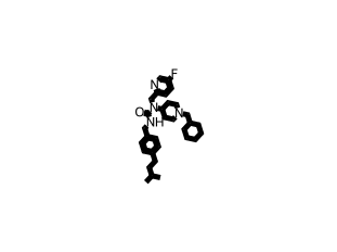 CC(C)CCc1ccc(CNC(=O)N(Cc2ccc(F)cn2)C2CCN(CC3CCCCC3)CC2)cc1